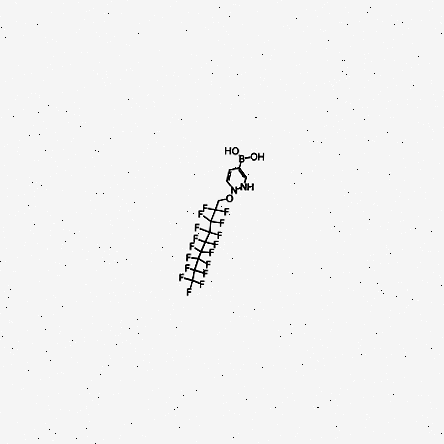 OB(O)C1=CNN(OCC(F)(F)C(F)(F)C(F)(F)C(F)(F)C(F)(F)C(F)(F)C(F)(F)C(F)(F)F)C=C1